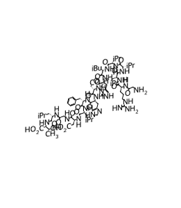 CC[C@H](C)[C@H](NC(=O)[C@@H](NC(=O)[C@@H](NC(=O)[C@H](CC(C)C)NC(=O)[C@H](CCCNC(=N)N)NC(=O)CN)C(C)C)C(C)C)C(=O)N[C@@H](Cc1c[nH]cn1)C(=O)N[C@@H](CC(=O)O)C(=O)N[C@@H](Cc1c[nH]cn1)C(=O)N[C@@H](Cc1ccccc1)C(=O)N[C@@H](CC(C)C)C(=O)N[C@@H](CC(=O)O)C(=O)NCC(=O)N[C@@H](CC(C)C)C(=O)N[C@H](C(=O)O)[C@@H](C)O